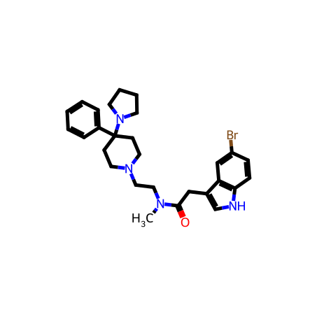 CN(CCN1CCC(c2ccccc2)(N2CCCC2)CC1)C(=O)Cc1c[nH]c2ccc(Br)cc12